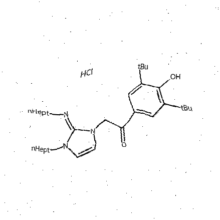 CCCCCCC/N=c1\n(CCCCCCC)ccn1CC(=O)c1cc(C(C)(C)C)c(O)c(C(C)(C)C)c1.Cl